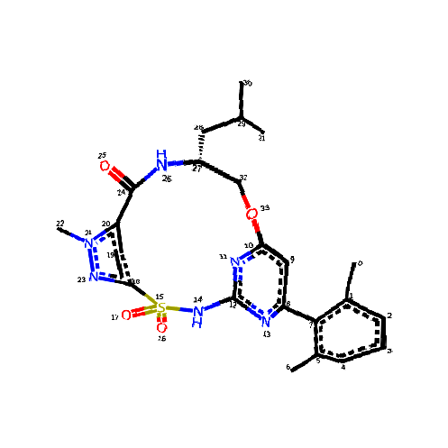 Cc1cccc(C)c1-c1cc2nc(n1)NS(=O)(=O)c1cc(n(C)n1)C(=O)N[C@H](CC(C)C)CO2